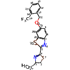 O=C(O)C1CSC(c2nc3ccc(OCc4ccccc4C(F)(F)F)cc3s2)=N1